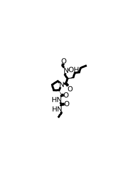 CCCCC[C@H](CN(O)C=O)C(=O)N1CCC[C@H]1C(=O)NC(=O)NCC